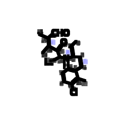 C/C=C(\C=C/c1cccc(Cl)c1C)NC(CC)C(=O)/C(C)=C(/C)C=O